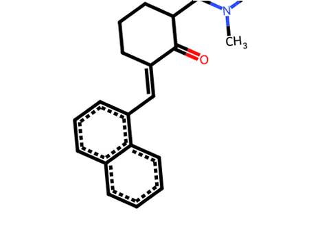 CN(C)CC1CCC/C(=C\c2cccc3ccccc23)C1=O